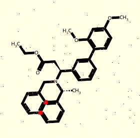 CCOC(=O)C[C@@H](c1cccc(-c2ccc(OC)cc2OC)c1)N(Cc1ccccc1)[C@H](C)c1ccccc1